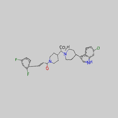 O=C(O)C(C1CCN(C(=O)C=Cc2ccc(F)cc2F)CC1)N1CCC(c2c[nH]c3cc(Cl)ccc23)CC1